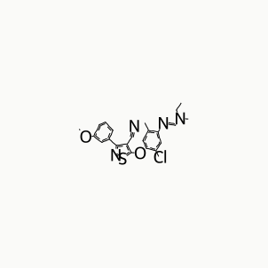 CCN(C)C=Nc1cc(Cl)c(Oc2snc(-c3cccc(OC)c3)c2C#N)cc1C